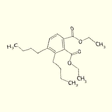 CCCCc1ccc(C(=O)OCC)c(C(=O)OCC)c1CCCC